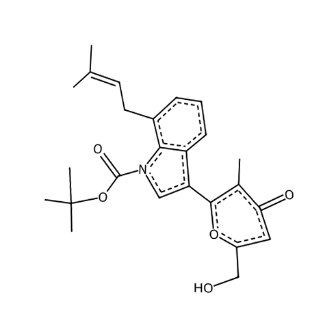 CC(C)=CCc1cccc2c(-c3oc(CO)cc(=O)c3C)cn(C(=O)OC(C)(C)C)c12